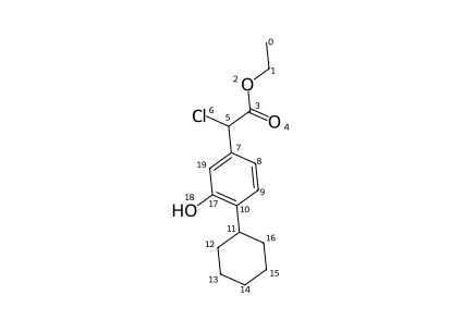 CCOC(=O)C(Cl)c1ccc(C2CCCCC2)c(O)c1